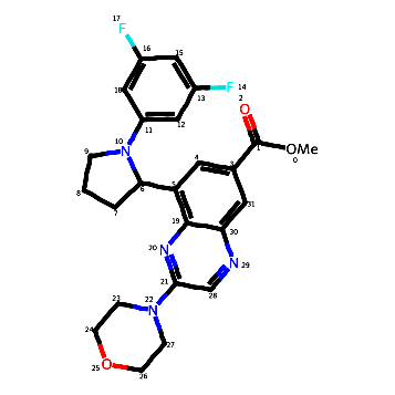 COC(=O)c1cc(C2CCCN2c2cc(F)cc(F)c2)c2nc(N3CCOCC3)cnc2c1